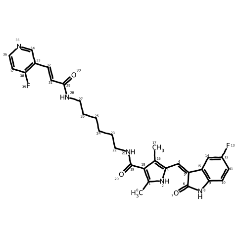 Cc1[nH]c(/C=C2\C(=O)Nc3ccc(F)cc32)c(C)c1C(=O)NCCCCCCNC(=O)/C=C/c1cnccc1F